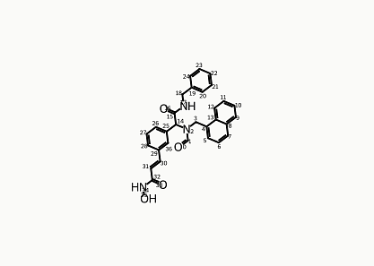 O=CN(Cc1cccc2ccccc12)C(C(=O)NCc1ccccc1)c1cccc(C=CC(=O)NO)c1